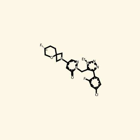 CCn1nnc(-c2ccc(Cl)cc2F)c1Cn1ncc(N2CC3(CC[C@@H](F)CO3)C2)cc1=O